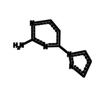 Nc1nccc(-n2cccn2)n1